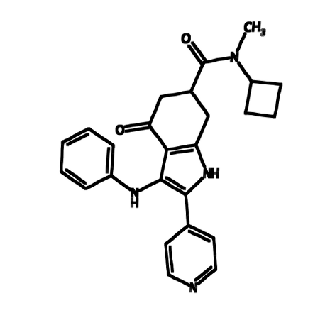 CN(C(=O)C1CC(=O)c2c([nH]c(-c3ccncc3)c2Nc2ccccc2)C1)C1CCC1